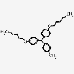 CCCCCCOc1ccc(C(c2ccc(C)cc2)c2ccc(OCCCCCC)cc2)cc1